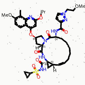 COCCn1ccc(C(=O)N[C@H]2CCCCCC=C[C@@H]3C[C@@]3(C(=O)NS(=O)(=O)C3CC3)NC(=O)[C@@H]3C[C@@H](Oc4cc(OC(C)C)nc5c(C)c(OC)ccc45)CN3C2=O)n1